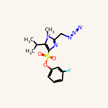 CC(C)c1c(S(=O)(=O)Oc2cccc(F)c2)nc(CN=[N+]=[N-])n1C